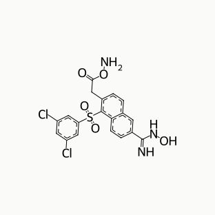 N=C(NO)c1ccc2c(S(=O)(=O)c3cc(Cl)cc(Cl)c3)c(CC(=O)ON)ccc2c1